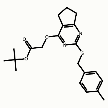 Cc1ccc(CSc2nc3c(c(OCC(=O)OC(C)(C)C)n2)CCC3)cc1